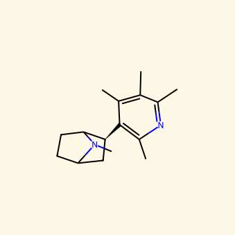 Cc1nc(C)c([C@H]2CC3CCC2N3C)c(C)c1C